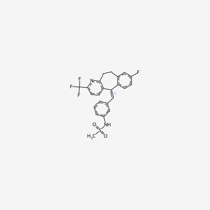 CS(=O)(=O)Nc1cccc(/C=C2/c3ccc(F)cc3CCc3nc(C(F)(F)F)ccc32)c1